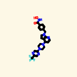 O=C(NO)c1ccc(Cn2ccc3c(N4CCN(c5cnc(C(F)(F)F)cn5)CC4)ccnc32)cc1